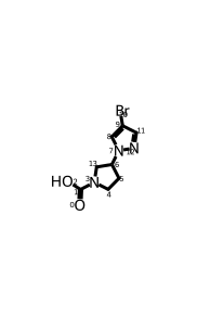 O=C(O)N1CCC(n2cc(Br)cn2)C1